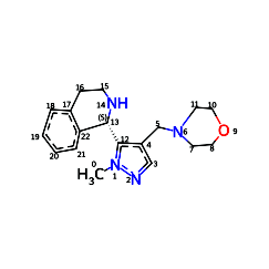 Cn1ncc(CN2CCOCC2)c1[C@H]1NCCc2ccccc21